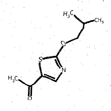 CC(=O)c1cnc(OCC(C)C)s1